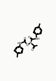 CC(=O)N(OC(=O)Nc1ccc(C)cc1)C(=O)Nc1ccc(C)cc1